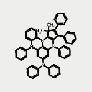 CC1(C)C2=C(C(c3ccccc3)=C1c1ccccc1)N(c1ccccc1)c1cc(N(c3ccccc3)c3ccccc3)cc3c1B2c1ccccc1N3c1ccccc1